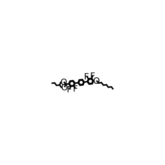 CCCCCCCOc1ccc(-c2ccc(-c3ccc(C4OCC(CCC)CO4)c(F)c3F)cc2)c(F)c1F